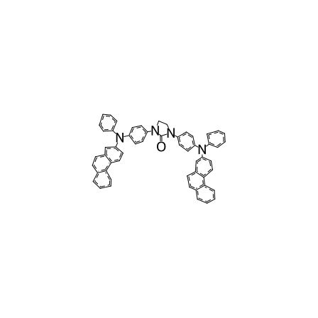 O=C1N(c2ccc(N(c3ccccc3)c3ccc4c(ccc5ccccc54)c3)cc2)CCN1c1ccc(N(c2ccccc2)c2ccc3c(ccc4ccccc43)c2)cc1